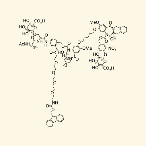 COc1cc2c(cc1OCCCCCOc1cc3c(cc1OC)C(=O)N1CC4(CC4)C[C@H]1[C@H](O)N3C(=O)OCc1ccc(NC(=O)[C@H](CO[C@@H]3O[C@H](C(=O)O)[C@@H](O)[C@H](O)[C@H]3O)NC(=O)[C@@H](NC(C)=O)C(C)C)cc1NC(=O)CCOCCOCCOCCOCCNC(=O)OCC1c3ccccc3-c3ccccc31)N(C(=O)OCc1ccc(O[C@@H]3O[C@H](C(=O)O)[C@@H](O)[C@H](O)[C@H]3O)c([N+](=O)[O-])c1)[C@@H](O)[C@@H]1Cc3ccccc3CN1C2=O